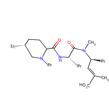 CC[C@@H]1CCC(C(=O)N[C@H](C(=O)N(C)[C@H](/C=C(\C)C(=O)O)C(C)C)C(C)C)N(C(C)C)C1